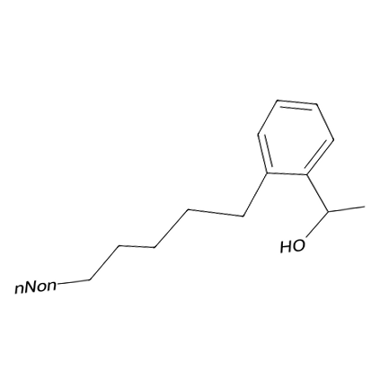 CCCCCCCCCCCCCCc1ccccc1C(C)O